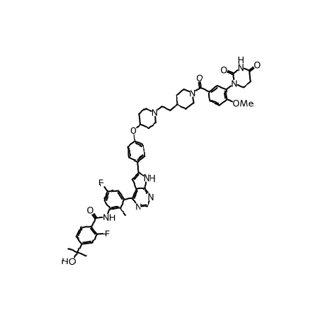 COc1ccc(C(=O)N2CCC(CCN3CCC(Oc4ccc(-c5cc6c(-c7cc(F)cc(NC(=O)c8ccc(C(C)(C)O)cc8F)c7C)ncnc6[nH]5)cc4)CC3)CC2)cc1N1CCC(=O)NC1=O